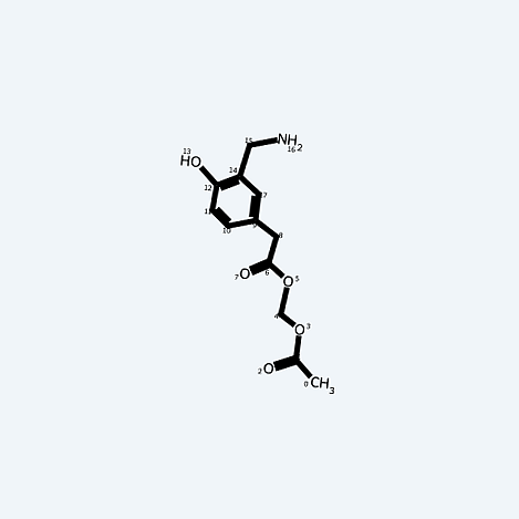 CC(=O)OCOC(=O)Cc1ccc(O)c(CN)c1